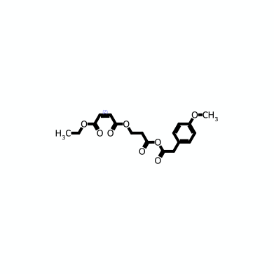 CCOC(=O)/C=C\C(=O)OCCC(=O)OC(=O)Cc1ccc(OC)cc1